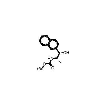 C[C@H](NC(=O)OC(C)(C)C)[C@H](O)c1ccc2ccccc2c1